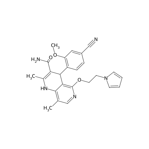 COc1cc(C#N)ccc1C1C(C(N)=O)=C(C)Nc2c(C)cnc(OCCn3cccc3)c21